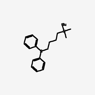 CC(C)(C)[Si](C)(C)CCCC[Si](c1ccccc1)c1ccccc1